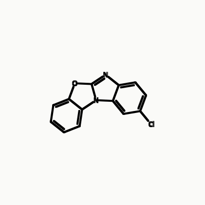 Clc1ccc2nc3oc4ccccc4n3c2c1